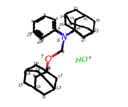 Cl.c1ccc(N(COC23CC4CC(CC(C4)C2)C3)C23CC4CC(CC(C4)C2)C3)cc1